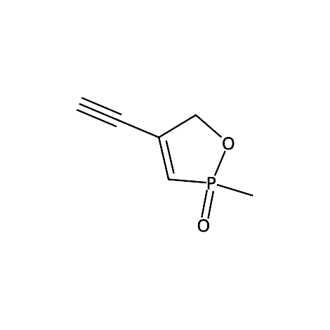 C#CC1=CP(C)(=O)OC1